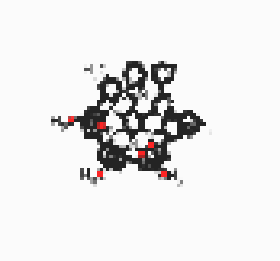 Cc1ccc2c(c1)c1cc(C)ccc1n2-c1c(-c2cc(-c3ccccc3)nc(-c3ccccc3)n2)c(-c2nc3ccccc3o2)c(-n2c3ccc(C)cc3c3cc(C)ccc32)c(-n2c3ccc(C)cc3c3cc(C)ccc32)c1-n1c2ccc(C)cc2c2cc(C)ccc21